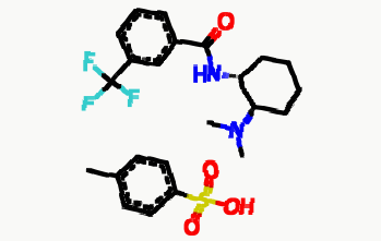 CN(C)[C@@H]1CCCC[C@H]1NC(=O)c1cccc(C(F)(F)F)c1.Cc1ccc(S(=O)(=O)O)cc1